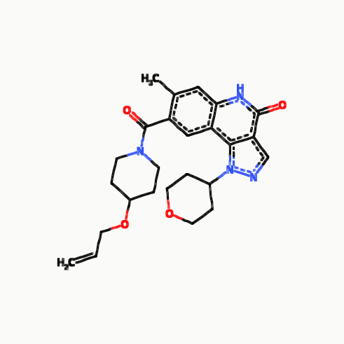 C=CCOC1CCN(C(=O)c2cc3c(cc2C)[nH]c(=O)c2cnn(C4CCOCC4)c23)CC1